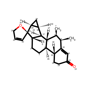 CC[C@]12CC[C@H]3[C@@H]([C@@H](C)[C@@H](C)C4=CC(=O)CC[C@@H]43)[C@@H]1[C@@H]1C[C@@H]1[C@@]21C=CCO1